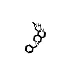 CNCc1nccc2c1CCN(Cc1ccccc1)C2